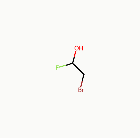 OC(F)CBr